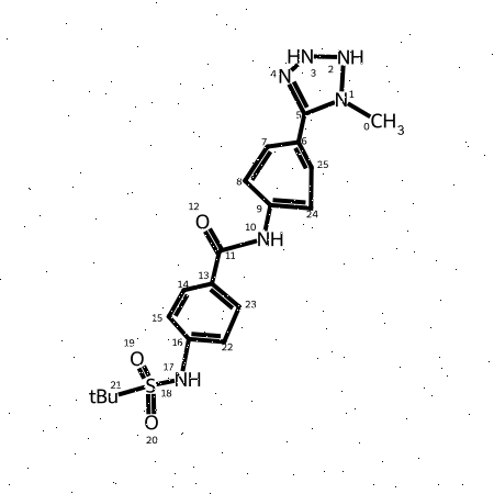 CN1NNN=C1c1ccc(NC(=O)c2ccc(NS(=O)(=O)C(C)(C)C)cc2)cc1